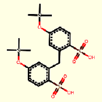 C[Si](C)(C)Oc1ccc(S(=O)(=O)O)c(Cc2cc(O[Si](C)(C)C)ccc2S(=O)(=O)O)c1